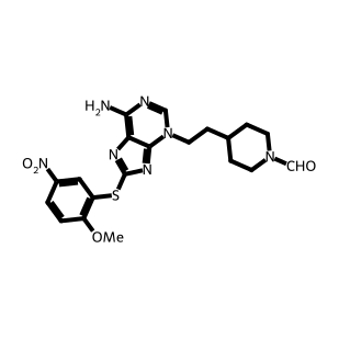 COc1ccc([N+](=O)[O-])cc1Sc1nc2c(N)ncn(CCC3CCN(C=O)CC3)c-2n1